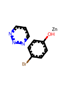 Oc1ccc(Br)cc1.[Zn].c1cnnnc1